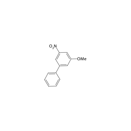 COc1cc(-c2ccccc2)cc([N+](=O)[O-])c1